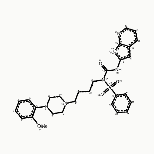 COc1ccccc1N1CCN(CCCCN(C(=O)Nc2cc3cccnc3[nH]2)S(=O)(=O)c2ccccc2)CC1